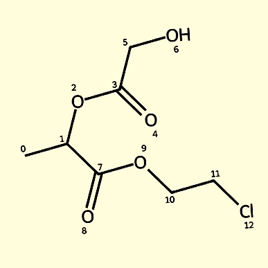 CC(OC(=O)CO)C(=O)OCCCl